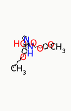 CCCCCCOc1ccc([C@@H](O)[C@@H](CN2CCCC2)NC(=O)CCOc2ccc(OC)cc2)cc1